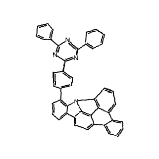 c1ccc(-c2nc(-c3ccccc3)nc(-c3ccc(-c4cccc5c6ccc7c8ccccc8c8cccc9c8c7c6n9c45)cc3)n2)cc1